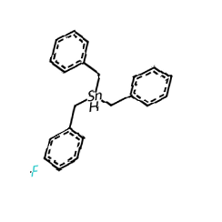 [F].c1ccc([CH2][SnH]([CH2]c2ccccc2)[CH2]c2ccccc2)cc1